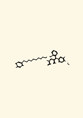 C=c1cc2c(cc1C)=C(c1ccccc1C(=O)OCCCCCCCCCCC1=CC(=O)C(C)=CC1=O)c1cc(C)c(NCC)cc1O2